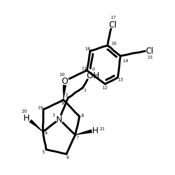 OCCN1[C@@H]2CC[C@H]1C[C@H](Oc1ccc(Cl)c(Cl)c1)C2